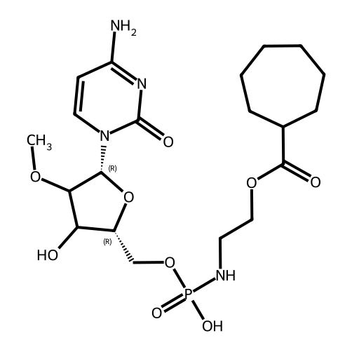 COC1C(O)[C@@H](COP(=O)(O)NCCOC(=O)C2CCCCCC2)O[C@H]1n1ccc(N)nc1=O